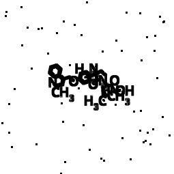 Cc1cc(COc2ccc([C@]3(N)CCN([C@H](CC(C)C)C(=O)NO)C3=O)cc2)c2ccccc2n1